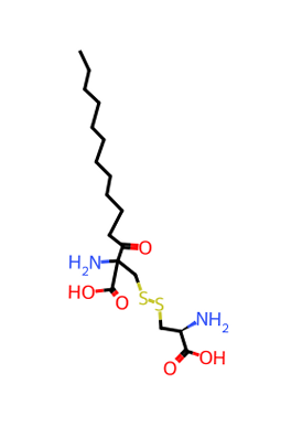 CCCCCCCCCCCC(=O)C(N)(CSSC[C@@H](N)C(=O)O)C(=O)O